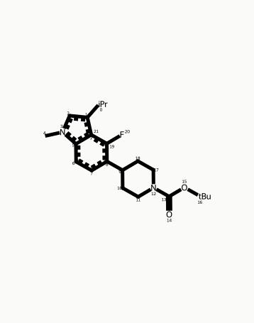 CC(C)c1cn(C)c2ccc(C3CCN(C(=O)OC(C)(C)C)CC3)c(F)c12